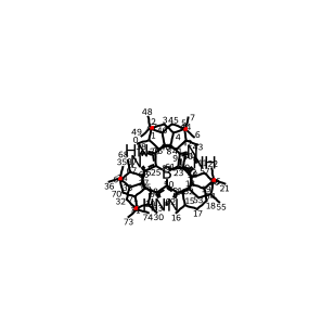 CC1CCC(C(C)C)C(c2n[nH]c(C3CC(C)CCC3C(C)C)c2B(c2c(C3CC(C)CCC3C(C)C)n[nH]c2C2CC(C)CCC2C(C)C)c2c(C3CC(C)CCC3C(C)C)n[nH]c2C2CC(C)CCC2C(C)C)C1